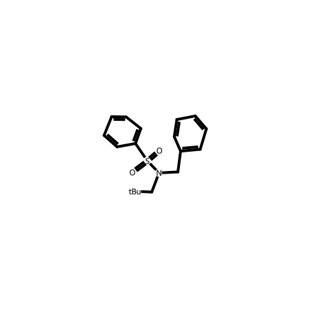 CC(C)(C)CN(Cc1ccccc1)S(=O)(=O)c1ccccc1